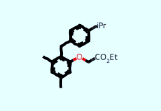 CCOC(=O)COc1cc(C)cc(C)c1Cc1ccc(C(C)C)cc1